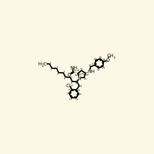 CCCCCCCCCC(Cc1ccccc1Cl)N1C[C@@H](NCc2ccc(OC)cc2)C[C@H]1C(N)=O